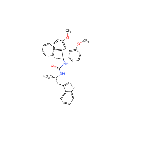 O=C(N[C@@H](CC1=CCc2ccccc21)C(=O)O)NC(Cc1ccccc1)(c1cccc(OC(F)(F)F)c1)c1cccc(OC(F)(F)F)c1